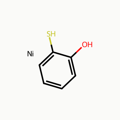 Oc1ccccc1S.[Ni]